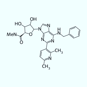 CNC(=O)[C@@H]1OC(n2cnc3c(NCc4ccccc4)nc(-c4ccc(C)nc4C)nc32)C(O)C1O